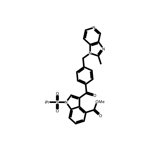 COC(=O)c1cccc2c1c(C(=O)c1ccc(Cn3c(C)nc4cnccc43)cc1)cn2S(=O)(=O)C(C)C